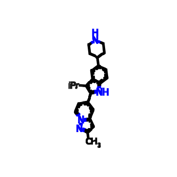 Cc1cc2cc(-c3[nH]c4ccc(C5CCNCC5)cc4c3C(C)C)ccn2n1